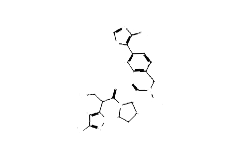 CCC(C(=O)N1CCC[C@H]1C(=O)N(C)Cc1ccc(-c2scnc2C)cc1)c1cc(C)no1